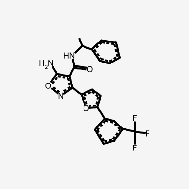 CC(NC(=O)c1c(-c2ccc(-c3cccc(C(F)(F)F)c3)o2)noc1N)c1ccccc1